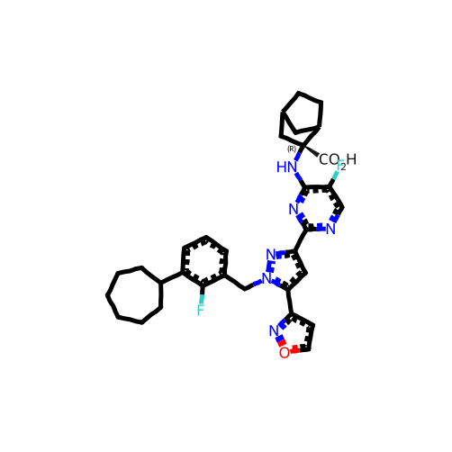 O=C(O)[C@@]1(Nc2nc(-c3cc(-c4ccon4)n(Cc4cccc(C5CCCCCC5)c4F)n3)ncc2F)CC2CCC1C2